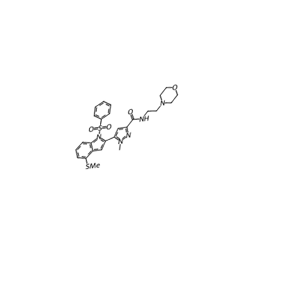 CSc1cccc2c1cc(-c1cc(C(=O)NCCN3CCOCC3)nn1C)n2S(=O)(=O)c1ccccc1